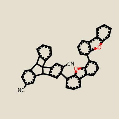 N#Cc1ccc2c(c1)C1c3cc(-c4cccc5c4oc4c(-c6cccc7c6oc6ccccc67)cccc45)c(C#N)cc3C13c1ccccc1C23